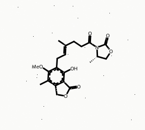 COc1c(C)c2c(c(O)c1C/C=C(\C)CCC(=O)N1C(=O)OC[C@@H]1C)C(=O)OC2